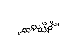 Cc1cc(Cc2nc3ccc(C(=O)O)cc3n2C[C@@H]2CCO2)ccc1-c1cccc(OCc2ccc(C#N)cc2F)n1